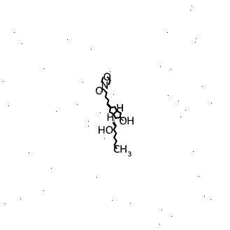 CCCCC[C@H](O)/C=C/[C@@H]1[C@H]2C/C(=C/CCCC(=O)N3CCOCC3)C[C@H]2C[C@H]1O